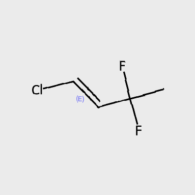 CC(F)(F)/C=C/Cl